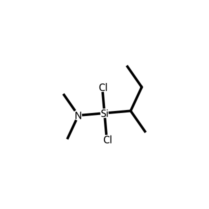 CCC(C)[Si](Cl)(Cl)N(C)C